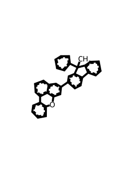 CC1(c2ccccc2)c2ccccc2-c2ccc(-c3cc4c5c(cccc5c3)-c3ccccc3O4)cc21